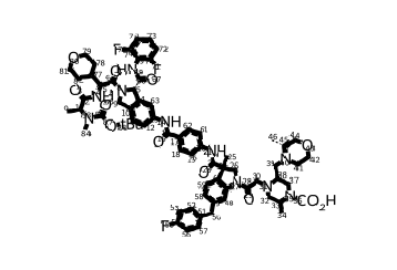 CC(C(=O)NC(C(=O)N1Cc2ccc(NC(=O)c3ccc(NC(=O)C4(C)CN(C(=O)CN5CC(C)N(C(=O)O)CC5CN5CCOC[C@H]5C)c5cc(Cc6ccc(F)cc6)ccc54)cc3)cc2[C@H]1C(=O)Nc1c(F)cccc1F)C1CCOCC1)N(C)C(=O)OC(C)(C)C